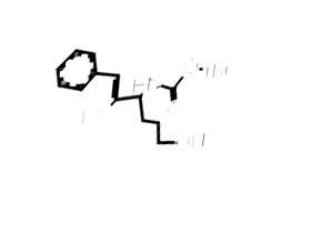 C/C(=C\c1ccccc1)C(CCCO)NC(=O)OC(C)(C)C